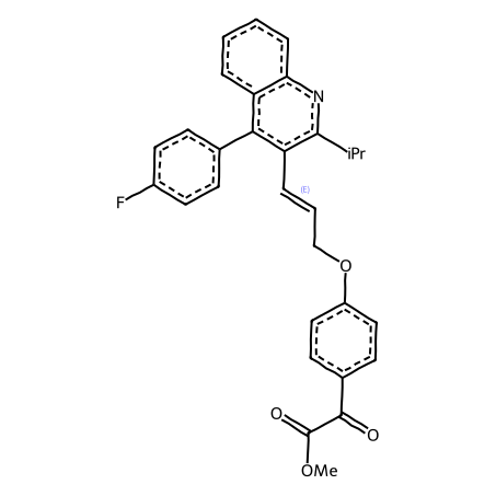 COC(=O)C(=O)c1ccc(OC/C=C/c2c(C(C)C)nc3ccccc3c2-c2ccc(F)cc2)cc1